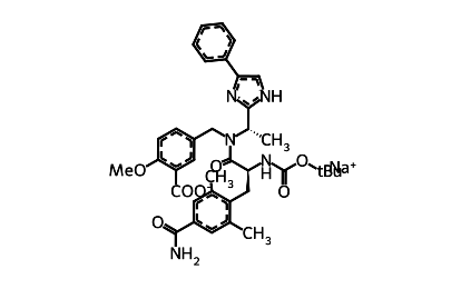 COc1ccc(CN(C(=O)[C@H](Cc2c(C)cc(C(N)=O)cc2C)NC(=O)OC(C)(C)C)[C@@H](C)c2nc(-c3ccccc3)c[nH]2)cc1C(=O)[O-].[Na+]